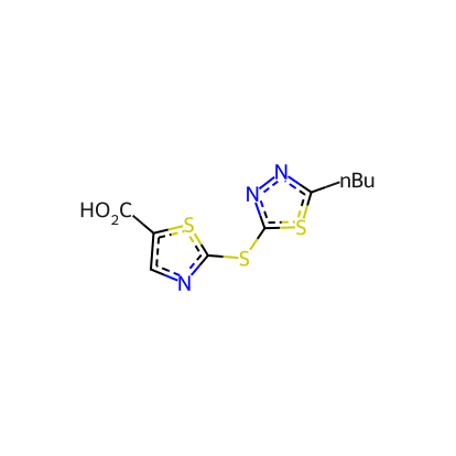 CCCCc1nnc(Sc2ncc(C(=O)O)s2)s1